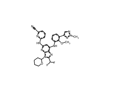 COc1c(Nc2cc(Nc3cccc(C#N)n3)nc3c2nc(C(F)F)n3C2CCCCO2)cccc1-c1cnn(C)n1